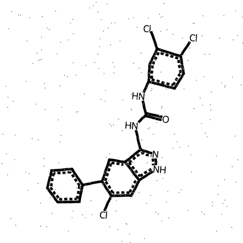 O=C(Nc1ccc(Cl)c(Cl)c1)Nc1n[nH]c2cc(Cl)c(-c3ccccc3)cc12